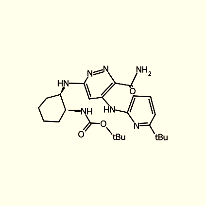 CC(C)(C)OC(=O)N[C@H]1CCCC[C@H]1Nc1cc(Nc2cccc(C(C)(C)C)n2)c(C(N)=O)nn1